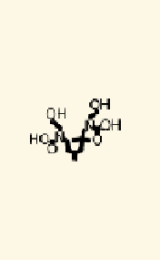 CC(CCN(CCO)C(=O)O)CC(C)(C)CN(CCO)C(=O)O